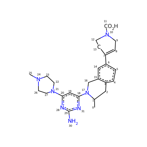 CC1Cc2ccc(C3=CCN(C(=O)O)CC3)cc2CN1c1cc(N2CCN(C)CC2)nc(N)n1